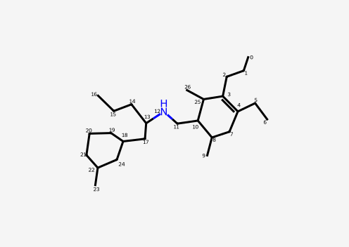 CCCC1=C(CC)CC(C)C(CNC(CCC)CC2CCCC(C)C2)C1C